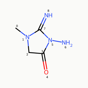 CN1CC(=O)N(N)C1=N